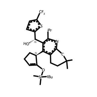 CC(C)c1nc2c(c([C@@H]3CCC=C3O[Si](C)(C)C(C)(C)C)c1[C@H](O)c1ccc(C(F)(F)F)s1)CCC(C)(C)C2